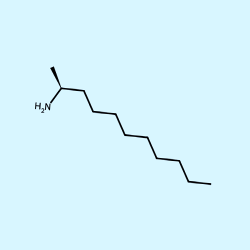 CCCCCCCCC[C@H](C)N